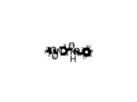 CC(C)(C)OC(=O)N1CCC(C(=O)NOCc2ccccc2)CC1